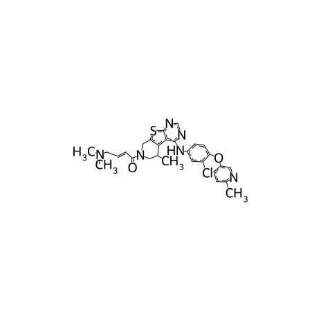 Cc1ccc(Oc2ccc(Nc3ncnc4sc5c(c34)C(C)CN(C(=O)/C=C/CN(C)C)C5)cc2Cl)cn1